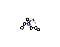 C[Si]1(C)c2ccccc2-c2c(-c3cccc(-c4ccccc4)c3)nc(-c3cccc(-c4ccc5ccccc5c4)c3)nc21